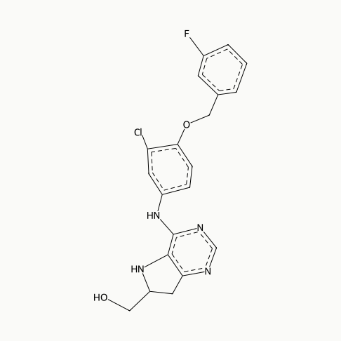 OCC1Cc2ncnc(Nc3ccc(OCc4cccc(F)c4)c(Cl)c3)c2N1